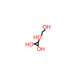 CC1C(O)C1O.OCCCO